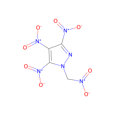 O=[N+]([O-])Cn1nc([N+](=O)[O-])c([N+](=O)[O-])c1[N+](=O)[O-]